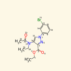 CCOC(=O)c1nn(-c2cccc(Br)c2)cc1N(CC)C(C)=O